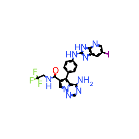 Nc1ncnn2cc(C(=O)NCC(F)(F)F)c(-c3ccc(Nc4nc5cc(I)cnc5[nH]4)cc3)c12